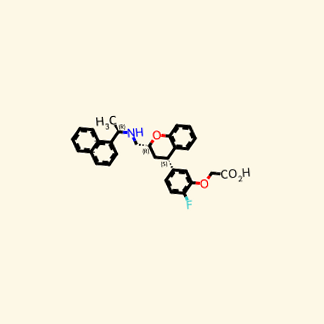 C[C@@H](NC[C@H]1C[C@@H](c2ccc(F)c(OCC(=O)O)c2)c2ccccc2O1)c1cccc2ccccc12